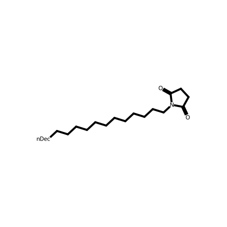 CCCCCCCCCCCCCCCCCCCCCCN1C(=O)CCC1=O